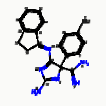 CC(C)(C)c1ccc(C2(C(=N)N)N=C(N)N=C2N=C2CCc3ccccc32)cc1